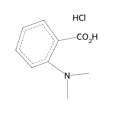 CN(C)c1ccccc1C(=O)O.Cl